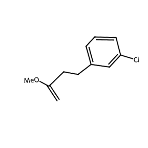 C=C(CCc1cccc(Cl)c1)OC